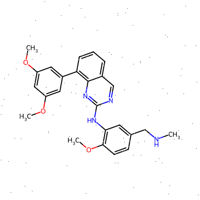 CNCc1ccc(OC)c(Nc2ncc3cccc(-c4cc(OC)cc(OC)c4)c3n2)c1